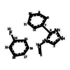 C=Nn1cnnc1-c1ccccc1.Fc1ccccc1